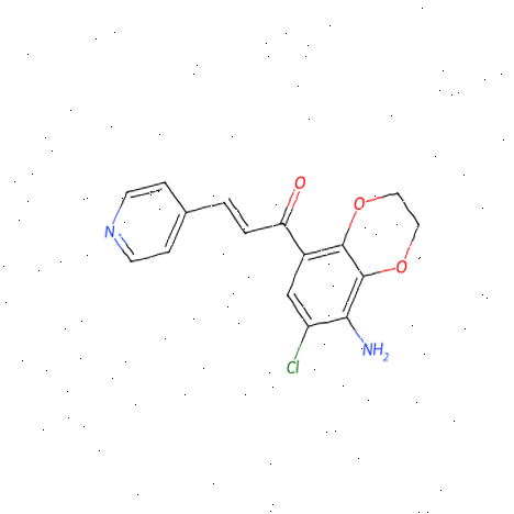 Nc1c(Cl)cc(C(=O)C=Cc2ccncc2)c2c1OCCO2